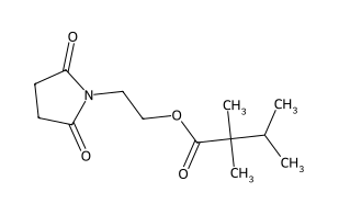 CC(C)C(C)(C)C(=O)OCCN1C(=O)CCC1=O